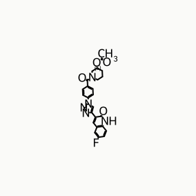 CC(=O)O[C@H]1CCCN(C(=O)c2ccc(-n3cc(-c4cc5cc(F)ccc5[nH]c4=O)nn3)cc2)C1